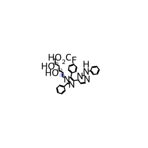 O=C(O)C[C@H](O)C[C@H](O)/C=C/n1c(-c2ccccc2)nc(-c2ccnc(Nc3ccccc3)n2)c1-c1ccc(F)cc1